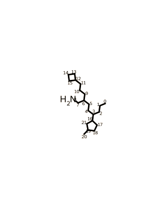 CCCC(CCC(CN)CCCC1CCC1)C1CCC(C)C1